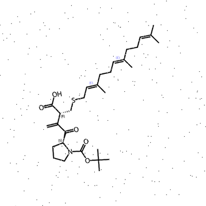 C=C(C(=O)[C@@H]1CCCN1C(=O)OC(C)(C)C)[C@@H](CSC/C=C(\C)CC/C=C(\C)CCC=C(C)C)C(=O)O